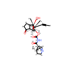 CC#C[C@]1(C)C[C@@H](OC(=O)NC(=O)[C@H]2CN3CC[C@@H]2C3)[C@@]2(C)C3C(=O)CCC3(CC[C@H]2C)[C@@H](C)[C@@H]1O